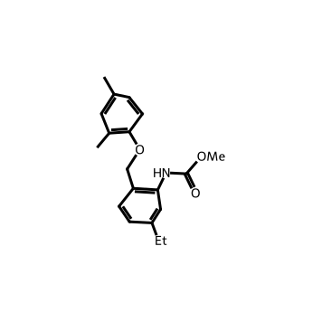 CCc1ccc(COc2ccc(C)cc2C)c(NC(=O)OC)c1